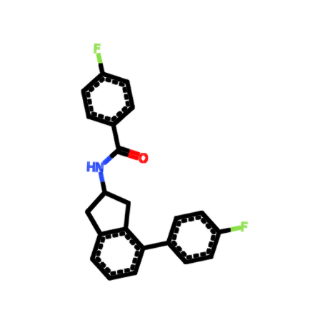 O=C(NC1Cc2cccc(-c3ccc(F)cc3)c2C1)c1ccc(F)cc1